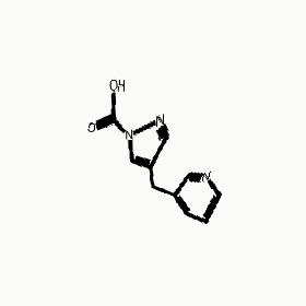 O=C(O)n1cc(Cc2cccnc2)cn1